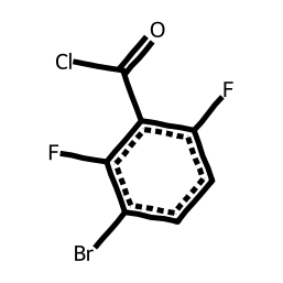 O=C(Cl)c1c(F)ccc(Br)c1F